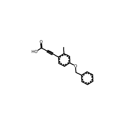 Cc1cc(OCc2ccccc2)ccc1C#CC(=O)O